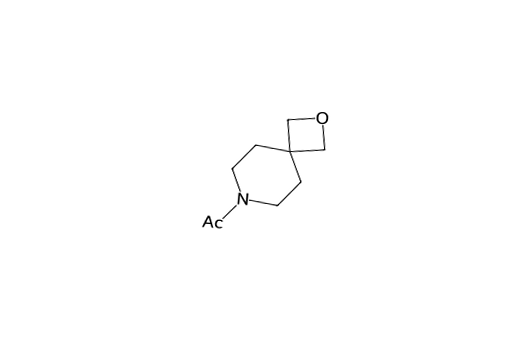 CC(=O)N1CCC2(CC1)COC2